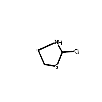 ClC1N[CH]CS1